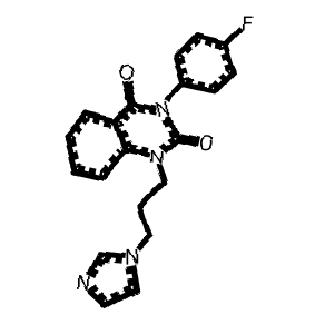 O=c1c2ccccc2n(CCCn2ccnc2)c(=O)n1-c1ccc(F)cc1